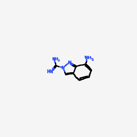 N=C(N)n1cc2cccc(N)c2n1